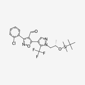 C[C@@H](Cn1ncc(-c2onc(-c3ccccc3Cl)c2C=O)c1C(F)(F)F)O[Si](C)(C)C(C)(C)C